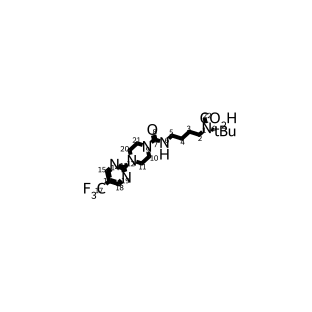 CC(C)(C)N(CCCCNC(=O)N1CCN(c2ncc(C(F)(F)F)cn2)CC1)C(=O)O